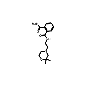 CNC(=O)c1cnccc1C(=O)NCCN1CCOC(C)(C)C1